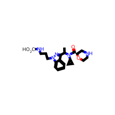 CC(c1nn(CCCNC(=O)O)c2ccccc12)N(C(=O)[C@H]1CNCCO1)C1CC1